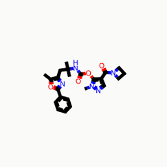 Cc1oc(-c2ccccc2)nc1CC(C)(C)NC(=O)Oc1c(C(=O)N2CCC2)cnn1C